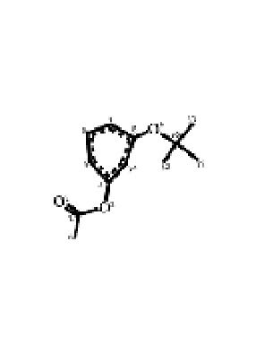 CC(=O)Oc1c[c]cc(OC(C)(C)C)c1